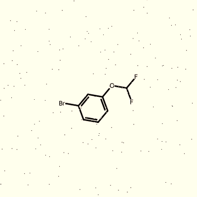 FC(F)Oc1cc[c]c(Br)c1